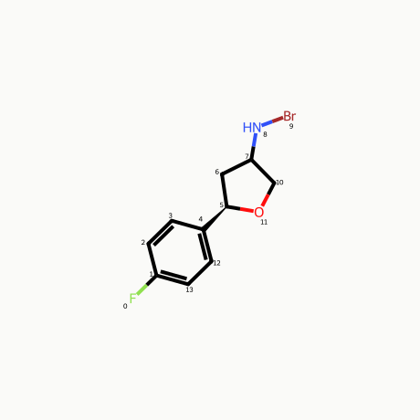 Fc1ccc([C@H]2CC(NBr)CO2)cc1